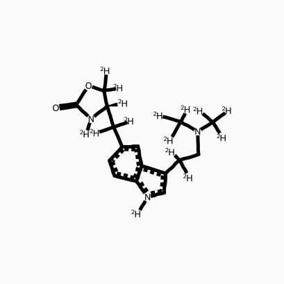 [2H]N1C(=O)OC([2H])([2H])[C@]1([2H])C([2H])([2H])c1ccc2c(c1)c(C([2H])([2H])CN(C([2H])([2H])[2H])C([2H])([2H])[2H])cn2[2H]